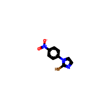 O=[N+]([O-])c1ccc(-n2ccnc2S)cc1